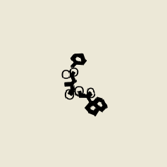 C=C(CC(=O)OCc1ccccc1)C(=O)OCC(=O)c1cccc2ccccc12